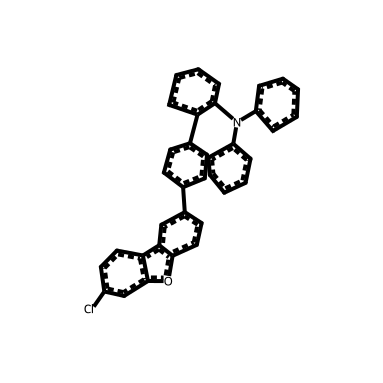 Clc1ccc2c(c1)oc1ccc(-c3ccc(-c4ccccc4N(c4ccccc4)c4ccccc4)cc3)cc12